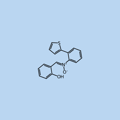 [O-][N+](=Cc1ccccc1O)c1ccccc1-c1cccs1